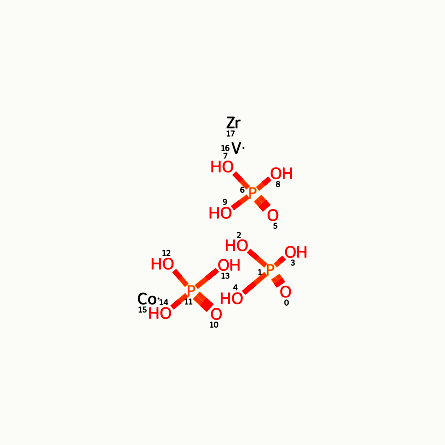 O=P(O)(O)O.O=P(O)(O)O.O=P(O)(O)O.[Co].[V].[Zr]